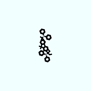 CCC1(N(c2ccccc2)c2ccccc2)Cc2cc3c(cc21)C(C)(C)c1cc2c(cc1-3)C2(C)N(c1ccccc1)c1ccccc1